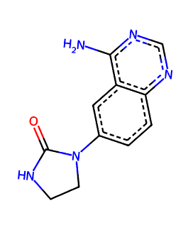 Nc1ncnc2ccc(N3CCNC3=O)cc12